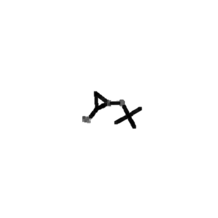 CC(C)(C)ON1CC1C#N